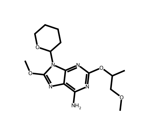 COCC(C)Oc1nc(N)c2nc(OC)n(C3CCCCO3)c2n1